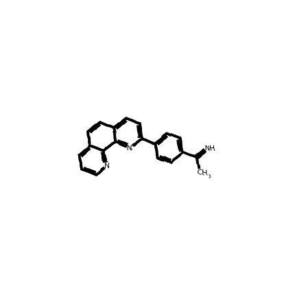 CC(=N)c1ccc(-c2ccc3ccc4cccnc4c3n2)cc1